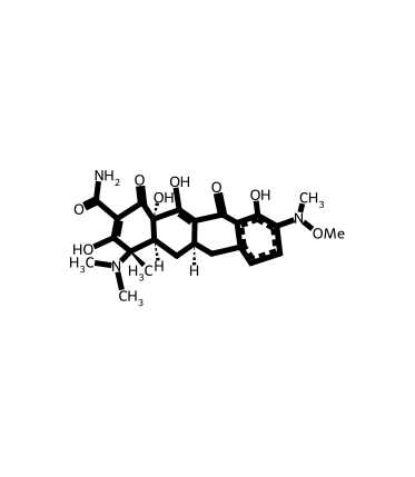 CON(C)c1ccc2c(c1O)C(=O)C1=C(O)[C@]3(O)C(=O)C(C(N)=O)=C(O)[C@@](C)(N(C)C)[C@@H]3C[C@@H]1C2